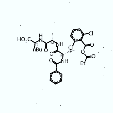 CCC(=O)OC(=O)c1c(Cl)cccc1Cl.CCCC[C@H](NC(=O)[C@H](C)NC(=O)[C@@H](NC(=O)c1ccccc1)C(C)C)C(=O)O